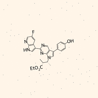 CCOC(=O)[C@H](C)[C@@H](C)n1cc(-c2ccc(O)cc2)c2cnc(-c3c[nH]c4ncc(F)cc34)nc21